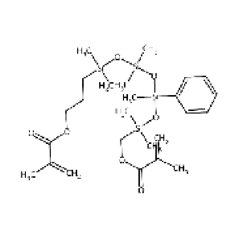 C=C(C)C(=O)OCCC[Si](C)(C)O[Si](C)(C)O[Si](C)(O[Si](C)(C)COC(=O)C(=C)C)c1ccccc1